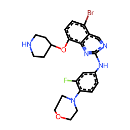 Fc1cc(Nc2ncc3c(Br)ccc(OC4CCNCC4)c3n2)ccc1N1CCOCC1